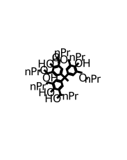 CCCOCc1cc(C(C)(c2cc(COCCC)c(O)c(C(O)CCC)c2)c2cc(C(O)CCC)c(O)c(C(O)CCC)c2)cc(COCCC)c1O